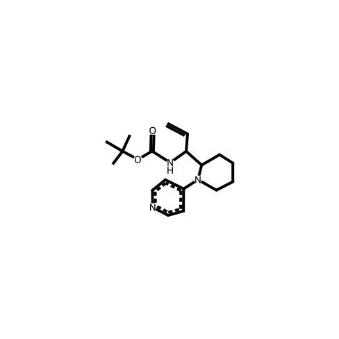 C=CC(NC(=O)OC(C)(C)C)C1CCCCN1c1ccncc1